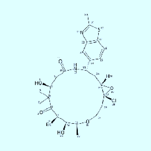 CC[C@H]1C(=O)C(C)(C)[C@@H](O)CC(=O)N[C@H](c2ccc3sc(C)nc3c2)C[C@@H]2O[C@]2(Cl)CCO[C@@H](C)[C@H]1O